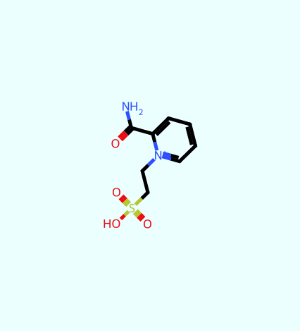 NC(=O)c1cccc[n+]1CCS(=O)(=O)O